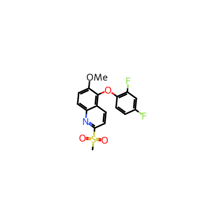 COc1ccc2nc(S(C)(=O)=O)ccc2c1Oc1ccc(F)cc1F